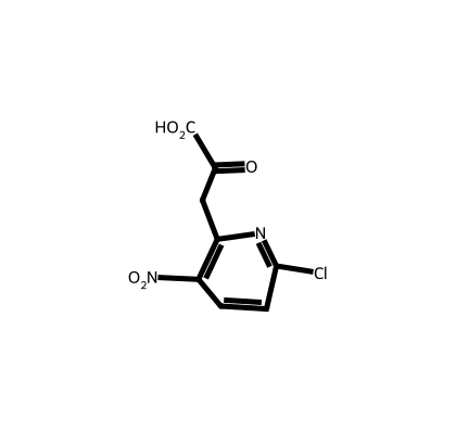 O=C(O)C(=O)Cc1nc(Cl)ccc1[N+](=O)[O-]